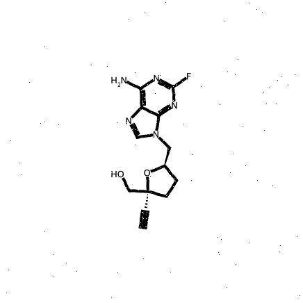 C#C[C@@]1(CO)CC[C@H](Cn2cnc3c(N)nc(F)nc32)O1